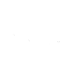 COC(=O)CC(=O)CNC(=O)c1ccccn1